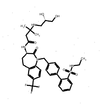 CCNS(=O)(=O)c1ccccc1-c1ccc(CN2C(=O)[C@H](NC(=O)CC(C)(C)NC[C@H](O)CO)CCc3cc(C(F)(F)F)ccc32)cc1